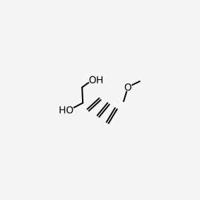 C=C.C=C.C=C.COC.OCCO